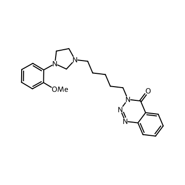 COc1ccccc1N1CCN(CCCCCn2nnc3ccccc3c2=O)C1